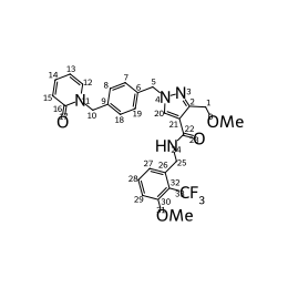 COCc1nn(Cc2ccc(Cn3ccccc3=O)cc2)cc1C(=O)NCc1cccc(OC)c1C(F)(F)F